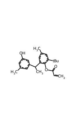 C=CC(=O)Oc1c(C(C)c2cc(C)cc(O)c2)cc(C)cc1C(C)(C)C